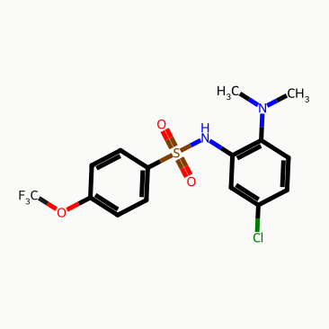 CN(C)c1ccc(Cl)cc1NS(=O)(=O)c1ccc(OC(F)(F)F)cc1